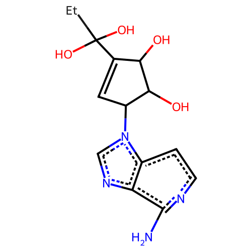 CCC(O)(O)C1=CC(n2cnc3c(N)nccc32)C(O)C1O